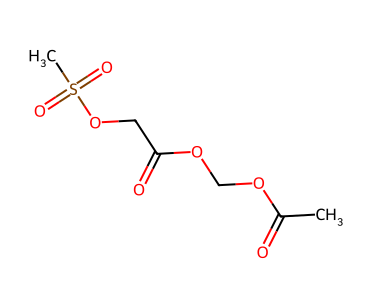 CC(=O)OCOC(=O)COS(C)(=O)=O